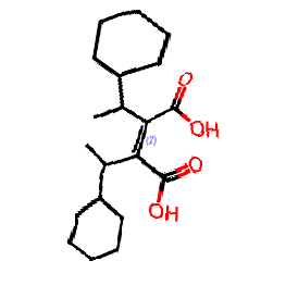 CC(/C(C(=O)O)=C(/C(=O)O)C(C)C1CCCCC1)C1CCCCC1